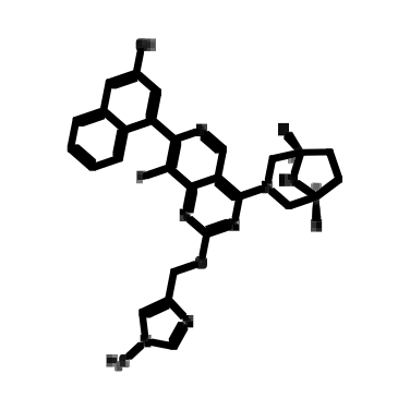 Cn1cnc(COc2nc(N3C[C@H]4CC[C@@H](C3)N4)c3cnc(-c4cc(O)cc5ccccc45)c(F)c3n2)c1